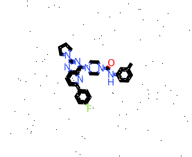 Cc1cccc(NC(=O)N2CCN(c3nc(N4CCCC4)nc4ccc(-c5ccc(F)cc5)nc34)CC2)c1